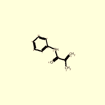 C=C(C)C(=O)Nc1ccccc1